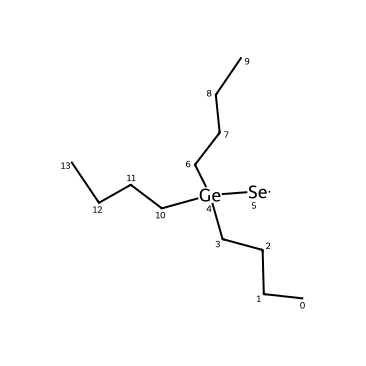 CCC[CH2][Ge]([Se])([CH2]CCC)[CH2]CCC